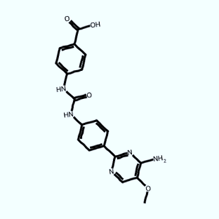 COc1cnc(-c2ccc(NC(=O)Nc3ccc(C(=O)O)cc3)cc2)nc1N